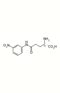 N[C@@H](CCC(=O)Nc1cccc([N+](=O)[O-])c1)C(=O)O